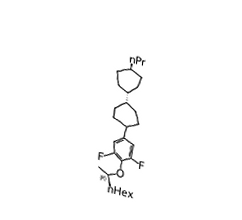 CCCCCC[C@@H](C)Oc1c(F)cc(C2CCC([C@H]3CC[C@H](CCC)CC3)CC2)cc1F